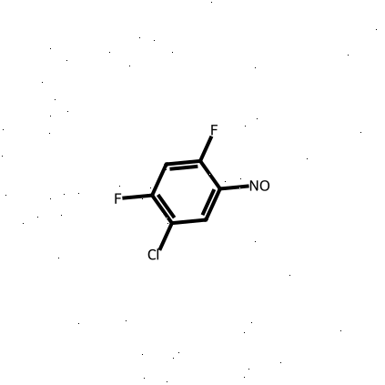 O=Nc1cc(Cl)c(F)cc1F